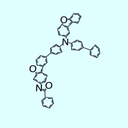 c1ccc(-c2ccc(N(c3ccc(-c4ccc5oc6cc7nc(-c8ccccc8)oc7cc6c5c4)cc3)c3ccc4oc5ccccc5c4c3)cc2)cc1